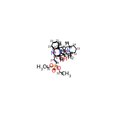 C=C1C[C@@H]2CCC[C@H]1C[C@H](N1[C@@H]3CCC[C@H]1C[C@@H](N1c4ccccc4N=C(/C=C/P(=O)(OCC)OCC)C1O)C3)C2